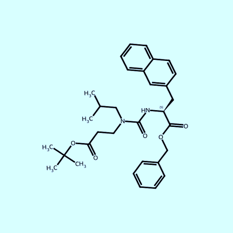 CC(C)CN(CCC(=O)OC(C)(C)C)C(=O)N[C@@H](Cc1ccc2ccccc2c1)C(=O)OCc1ccccc1